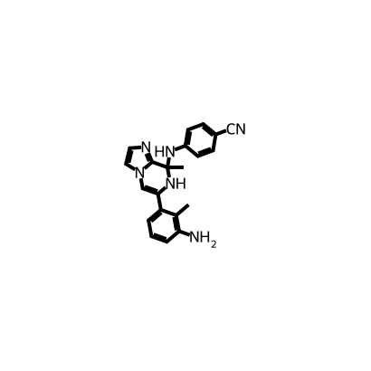 Cc1c(N)cccc1C1=Cn2ccnc2C(C)(Nc2ccc(C#N)cc2)N1